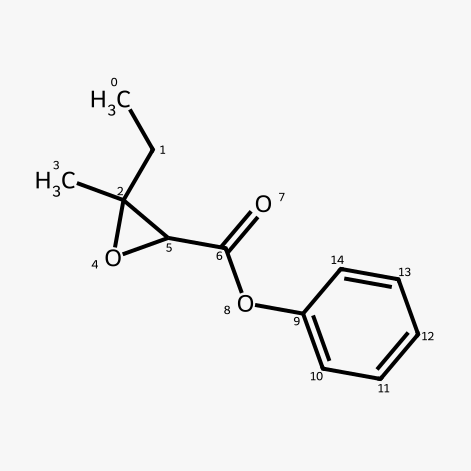 CCC1(C)OC1C(=O)Oc1ccccc1